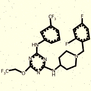 Fc1ccc(CN2CCC(Nc3nc(Nc4cccc(C(F)(F)F)c4)nc(OCC(F)(F)F)n3)CC2)c(F)c1